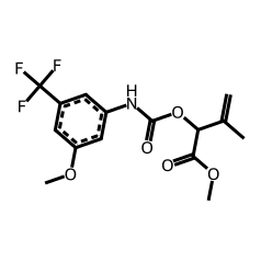 C=C(C)C(OC(=O)Nc1cc(OC)cc(C(F)(F)F)c1)C(=O)OC